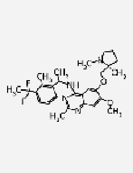 COc1cc2nc(C)nc(N[C@H](C)c3cccc(C(C)(F)F)c3C)c2cc1OC[C@]1(C)CCCN1C